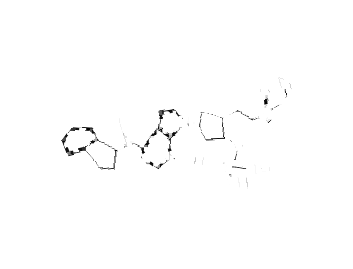 CCOS(=O)(=O)CC[C@@H]1C[C@@H](n2ccc3c(N[C@H]4CCc5ccccc54)ncnc32)C[C@@H]1O[Si](C)(C)C(C)(C)C